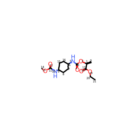 C=C(OC(=O)NC1CCC(NC(=O)OC)CC1)C(=O)OCC